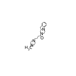 CN1CCN(CCCC(=O)N2CCN3c4ccccc4CC3C2)CC1